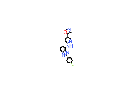 Cc1ncoc1-c1ccc(Nc2cccc3c2nc(-c2ccc(F)cc2)n3C)nc1